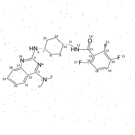 CN(C)c1nc(N[C@H]2CC[C@@H](CNC(=O)c3c(F)ccc(F)c3F)CC2)nc2ccccc12